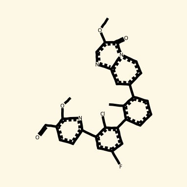 COc1nc(-c2cc(F)cc(-c3cccc(-c4ccn5c(=O)c(OC)cnc5c4)c3C)c2Cl)ccc1C=O